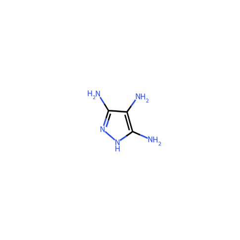 Nc1n[nH]c(N)c1N